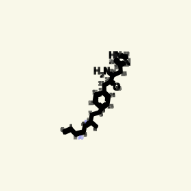 C=C/C=C\C=C(/C)CCc1ccc(CC(=O)C(N)Cc2c[nH]cn2)cc1